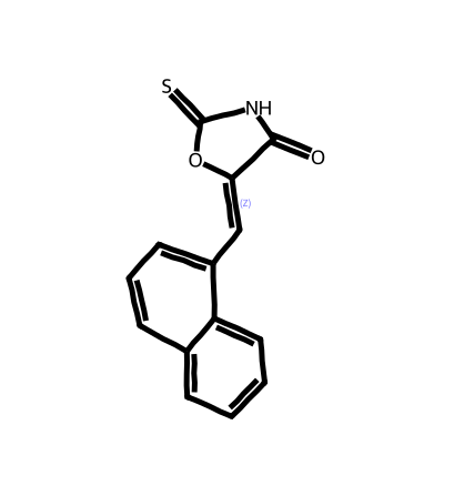 O=C1NC(=S)O/C1=C\c1cccc2ccccc12